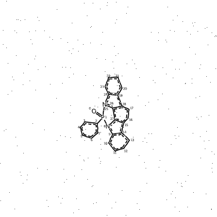 O=P1(c2ccccc2)n2c3ccccc3c3ccc4c5ccccc5n1c4c32